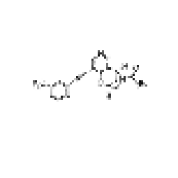 CC(C)(C)C(=O)N1C[C@@H]2C[C@H]1c1cncc(C#Cc3cc(C(F)(F)F)ccn3)c1O2